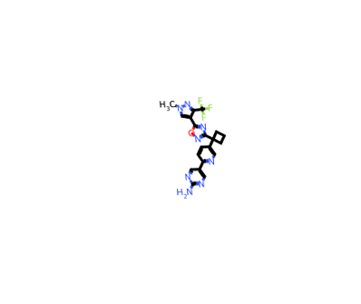 Cn1cc(-c2nc(C3(c4ccc(-c5cnc(N)nc5)nc4)CCC3)no2)c(C(F)(F)F)n1